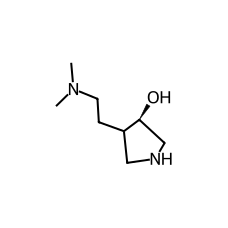 CN(C)CCC1CNC[C@@H]1O